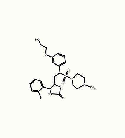 CN1CCN(S(=O)(=O)C(CC2NC(=O)NC2c2ccccc2Cl)c2cccc(OCCO)c2)CC1